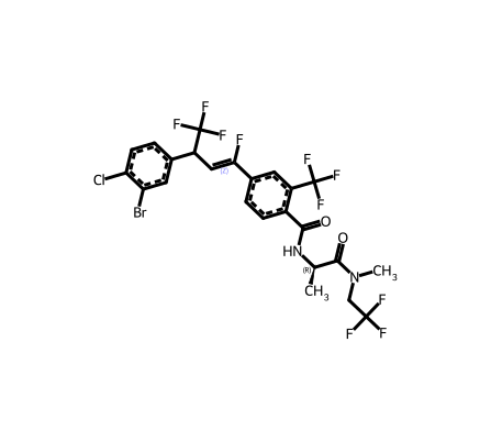 C[C@@H](NC(=O)c1ccc(/C(F)=C/C(c2ccc(Cl)c(Br)c2)C(F)(F)F)cc1C(F)(F)F)C(=O)N(C)CC(F)(F)F